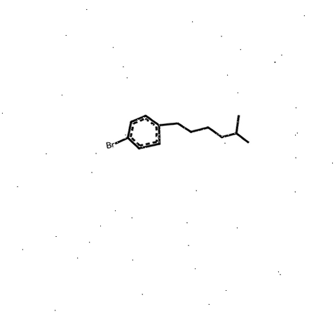 CC(C)CCCCc1ccc(Br)cc1